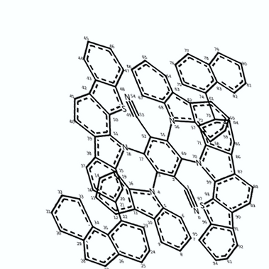 N#Cc1c(-n2c3ccccc3c3ccccc32)c(-n2c3cc(-c4cccc5ccc6ccccc6c45)ccc3c3ccc4c5ccccc5sc4c32)c(C#N)c(-n2c3ccccc3c3ccccc32)c1-n1c2cc(-c3cccc4ccccc34)ccc2c2ccc3c4ccccc4sc3c21